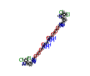 CN1Cc2c(Cl)cc(Cl)cc2[C@H](c2cccc(-c3cn(CCOCCOCCOCCNC(=O)NCCCNC(=O)NCCOCCOCCOCCn4cc(-c5cccc([C@@H]6CN(C)Cc7c(Cl)cc(Cl)cc76)c5)nn4)nn3)c2)C1